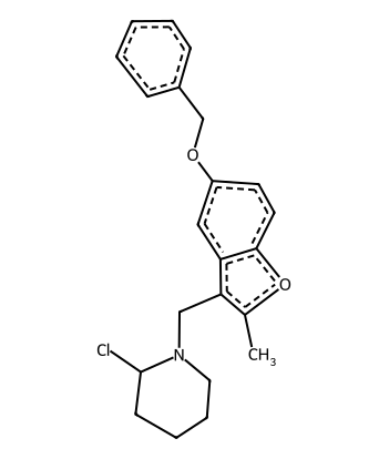 Cc1oc2ccc(OCc3ccccc3)cc2c1CN1CCCCC1Cl